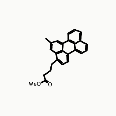 COC(=O)CCCc1ccc2c3cccc4cccc(c5cc(C)cc1c25)c43